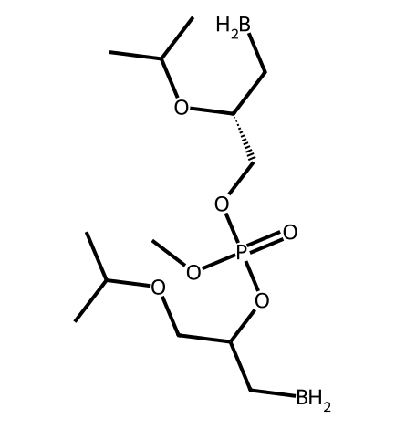 BCC(COC(C)C)OP(=O)(OC)OC[C@@H](CB)OC(C)C